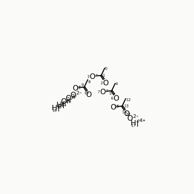 CC(=O)[O-].CC(=O)[O-].CC(=O)[O-].CC(=O)[O-].[Hf+4].[Hf+4].[Hf+4].[O-2].[O-2].[O-2].[O-2]